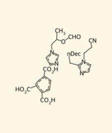 CC(Cn1ccnc1)OC=O.CCCCCCCCCCCc1nccn1CCC#N.O=C(O)c1ccc(C(=O)O)c(C(=O)O)c1